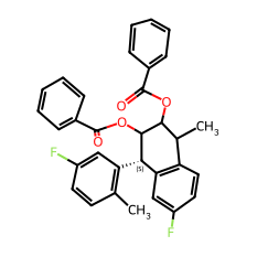 Cc1ccc(F)cc1[C@H]1c2cc(F)ccc2C(C)C(OC(=O)c2ccccc2)C1OC(=O)c1ccccc1